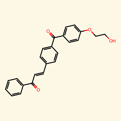 O=C(C=Cc1ccc(C(=O)c2ccc(OCCO)cc2)cc1)c1ccccc1